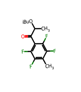 Cc1c(F)c(F)c(C(=O)C(C)OCC(C)C)c(F)c1F